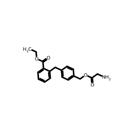 CCOC(=O)c1ccccc1Cc1ccc(COC(=O)CN)cc1